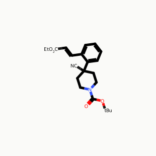 CCOC(=O)C=Cc1ccccc1C1(C#N)CCN(C(=O)OC(C)(C)C)CC1